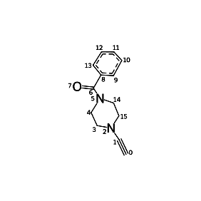 C#CN1CCN(C(=O)c2ccccc2)CC1